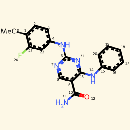 COc1ccc(Nc2ncc(C(N)=O)c(Nc3ccccc3)n2)cc1F